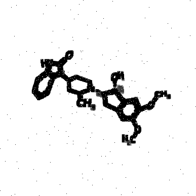 COc1cc2c(cc1OC)[C@@H](O)[C@@H](N1CCC(n3c(=O)[nH]c4ccccc43)CC1C)C2